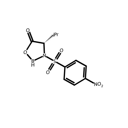 CC(C)[C@H]1C(=O)OBN1S(=O)(=O)c1ccc([N+](=O)[O-])cc1